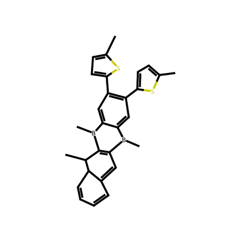 CB1C2=C(B(C)c3cc(-c4ccc(C)s4)c(-c4ccc(C)s4)cc31)C(C)C1C=CC=CC1=C2